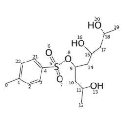 Cc1ccc(S(=O)(=O)OC(CC(C)O)CC(O)CC(C)O)cc1